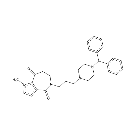 Cn1ccc2c1C(=O)CCN(CCCN1CCN(C(c3ccccc3)c3ccccc3)CC1)C2=O